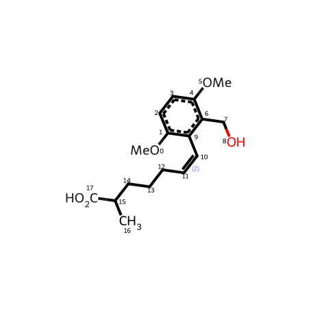 COc1ccc(OC)c(CO)c1/C=C\CCCC(C)C(=O)O